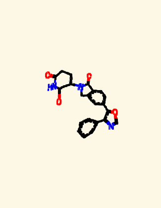 O=C1CCC(N2Cc3cc(-c4ocnc4-c4ccccc4)ccc3C2=O)C(=O)N1